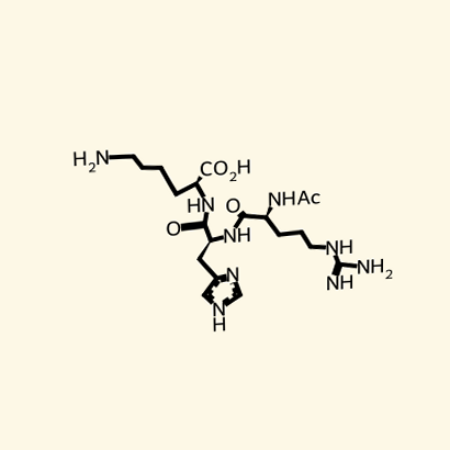 CC(=O)N[C@@H](CCCNC(=N)N)C(=O)N[C@@H](Cc1c[nH]cn1)C(=O)N[C@@H](CCCCN)C(=O)O